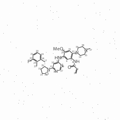 C=CC(=O)Nc1cc(Nc2cc(N3OCC[C@@H]3Cc3cccc(F)c3C)ncn2)c(OC)cc1N1CCN(C)CC1